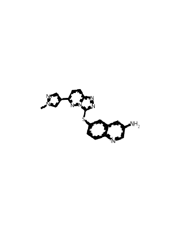 Cn1cc(-c2ccc3nnc(Sc4ccc5ncc(N)cc5c4)n3n2)cn1